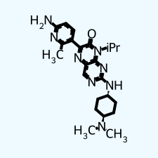 Cc1nc(N)ccc1-c1nc2cnc(N[C@H]3CC[C@H](N(C)C)CC3)nc2n(C(C)C)c1=O